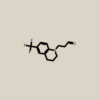 O=CCCN1CCCc2cc(C(F)(F)F)ccc21